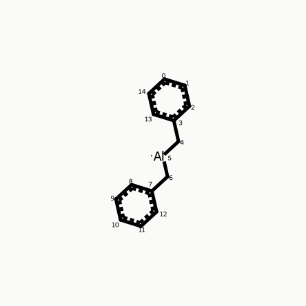 c1ccc([CH2][Al][CH2]c2ccccc2)cc1